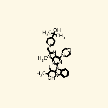 CC(O)C(I)c1nc2ccccc2n1-c1nc(N2CCOCC2)c2nc(CN3CCC(C(C)(C)O)CC3)n(C)c2n1